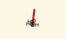 CCCCCCCCC=CCCCCCCCC(=O)NCCCP(=O)(O)O